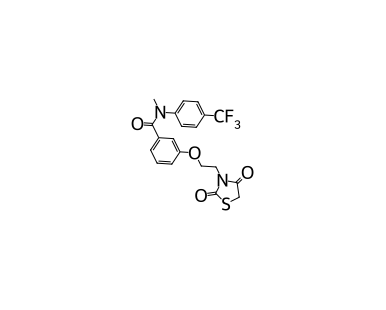 CN(C(=O)c1cccc(OCCN2C(=O)CSC2=O)c1)c1ccc(C(F)(F)F)cc1